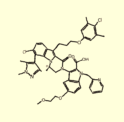 COCCOc1ccc2c(c1)c(N1C[C@@H](C)n3c(c(CCCOc4cc(C)c(Cl)c(C)c4)c4ccc(Cl)c(-c5c(C)nn(C)c5C)c43)C1=O)c(C(=O)O)n2Cc1ccccn1